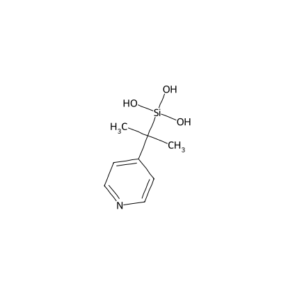 CC(C)(c1ccncc1)[Si](O)(O)O